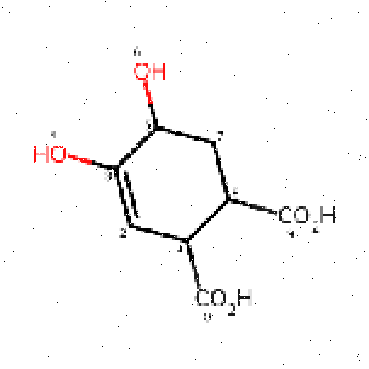 O=C(O)C1C=C(O)C(O)CC1C(=O)O